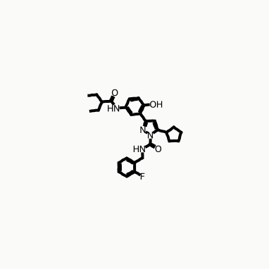 CCC(CC)C(=O)Nc1ccc(O)c(-c2cc(C3CCCC3)n(C(=O)NCc3ccccc3F)n2)c1